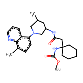 Cc1ccc(N2CC(NC(=O)CC3(NC(=O)OC(C)(C)C)CCCCC3)CC(C(F)(F)F)C2)c2cccnc12